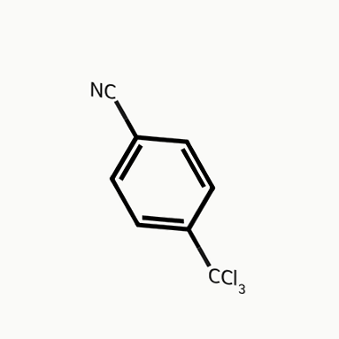 N#Cc1ccc(C(Cl)(Cl)Cl)cc1